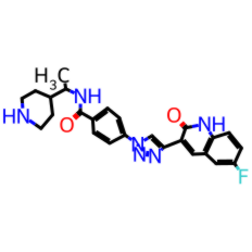 CC(NC(=O)c1ccc(-n2cc(-c3cc4cc(F)ccc4[nH]c3=O)nn2)cc1)C1CCNCC1